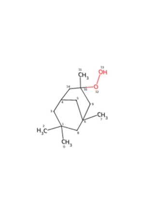 CC1(C)CC2CC(C)(C1)CC(C)(OO)C2